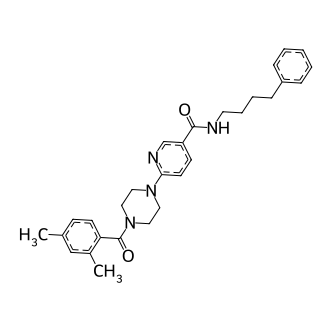 Cc1ccc(C(=O)N2CCN(c3ccc(C(=O)NCCCCc4ccccc4)cn3)CC2)c(C)c1